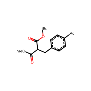 COC(=O)C(Cc1ccc(C(C)=O)cc1)C(=O)OC(C)(C)C